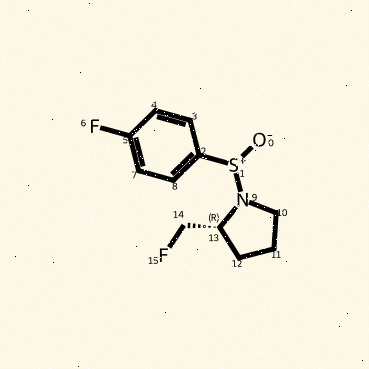 [O-][S+](c1ccc(F)cc1)N1CCC[C@@H]1CF